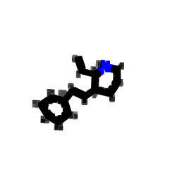 C=Cc1ncccc1C=Cc1ccccc1